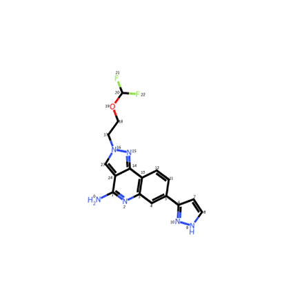 Nc1nc2cc(-c3cc[nH]n3)ccc2c2nn(CCOC(F)F)cc12